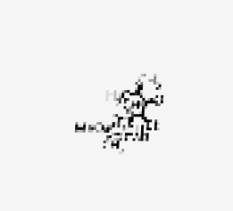 C=C(C)C(=O)C(CC)[Si](C)(C)O[Si](C)(OC)OC